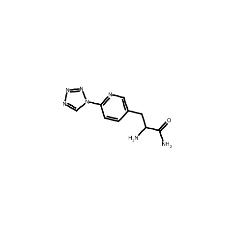 NC(=O)C(N)Cc1ccc(-n2cnnn2)nc1